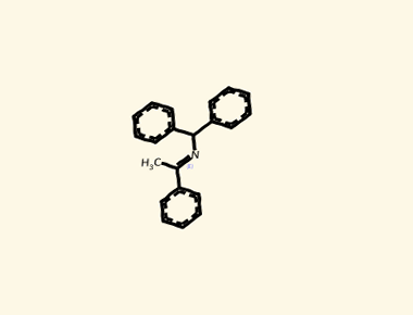 C/C(=N\C(c1ccccc1)c1ccccc1)c1ccccc1